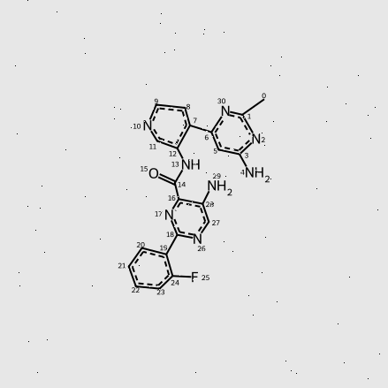 Cc1nc(N)cc(-c2ccncc2NC(=O)c2nc(-c3ccccc3F)ncc2N)n1